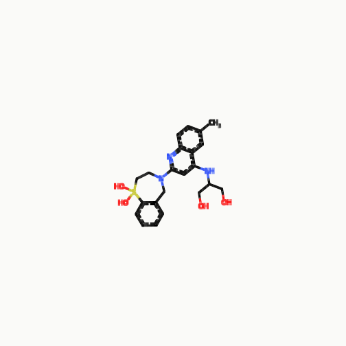 Cc1ccc2nc(N3CCS(O)(O)c4ccccc4C3)cc(NC(CO)CO)c2c1